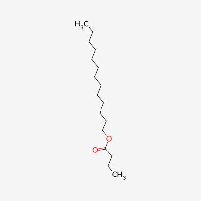 CCCCCCCCCCCCCOC(=O)CCC